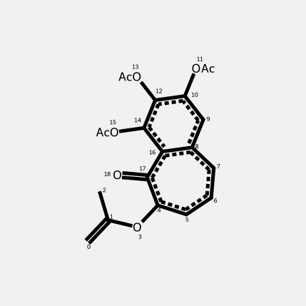 C=C(C)Oc1cccc2cc(OC(C)=O)c(OC(C)=O)c(OC(C)=O)c2c1=O